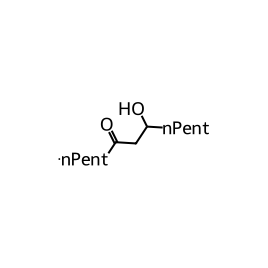 CCCC[CH]C(=O)CC(O)CCCCC